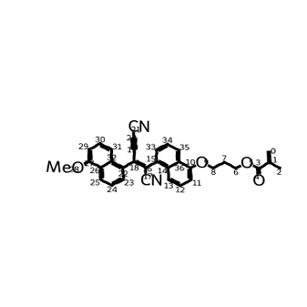 C=C(C)C(=O)OCCCOc1cccc2c(/C(C#N)=C(\C#CC#N)c3cccc4c(OC)cccc34)cccc12